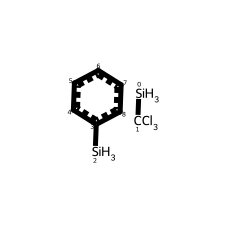 [SiH3]C(Cl)(Cl)Cl.[SiH3]c1ccccc1